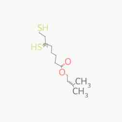 CC(C)=CCOC(=O)CCCC[C@@H](S)CCS